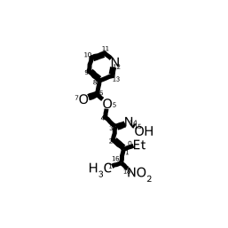 CCC(=CC(COC(=O)c1cccnc1)=NO)C(C)[N+](=O)[O-]